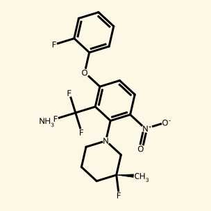 C[C@@]1(F)CCCN(c2c([N+](=O)[O-])ccc(Oc3ccccc3F)c2C(F)(F)F)C1.N